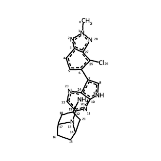 Cn1nc2ccc(-c3c[nH]c4nc(N5C6CCC5CC(N)C6)cnc34)c(Cl)c2n1